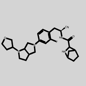 N#C[C@H](Cc1ccc(N2CC3CCN(C4CCOC4)C3C2)cc1F)NC(=O)C1NC2CCC1C2